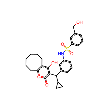 O=c1oc2c(c(O)c1C(c1cccc(NS(=O)(=O)c3cccc(CO)c3)c1)C1CC1)CCCCCC2